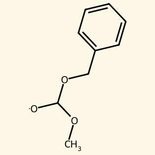 COC([O])OCc1ccccc1